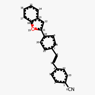 N#Cc1ccc(C=Cc2ccc(-c3cc4ccccc4o3)cc2)cc1